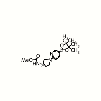 COC(=O)N[C@H]1CCN(c2ccc(B3OC(C)(C)C(C)(C)O3)cn2)C1